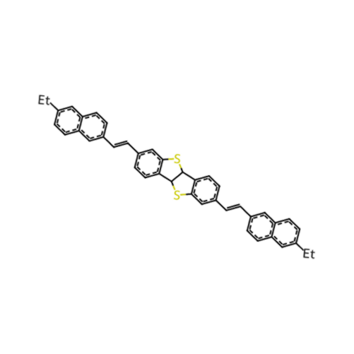 CCc1ccc2cc(/C=C/c3ccc4c(c3)SC3c5ccc(/C=C/c6ccc7cc(CC)ccc7c6)cc5SC43)ccc2c1